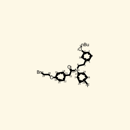 CCCCOc1cccc(CCN(C(=O)Cc2ccc(OCCBr)cc2)c2ccc(F)cc2)c1